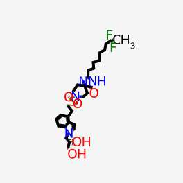 CC(F)(F)CCCCCCCC1=NC2(CCN(S(=O)(=O)CCc3cccc4c3ccn4C[C@H](O)CO)CC2)C(=O)N1